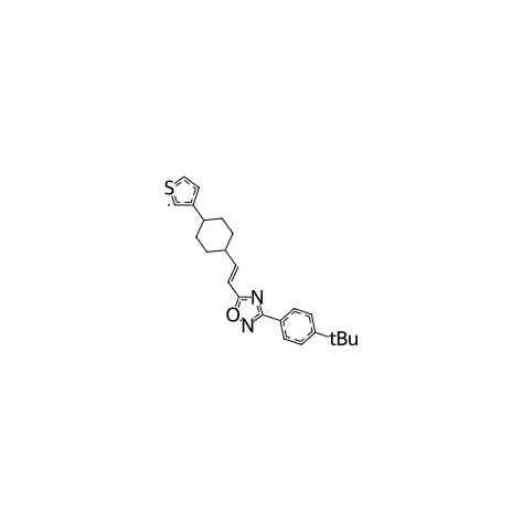 CC(C)(C)c1ccc(-c2noc(C=CC3CCC(c4[c]scc4)CC3)n2)cc1